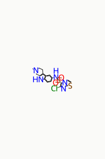 CN1CCc2c([nH]c3ccc(NS(=O)(=O)c4c(Cl)nc5sccn45)cc23)C1